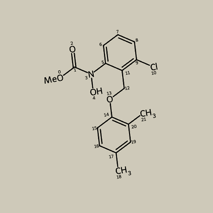 COC(=O)N(O)c1cccc(Cl)c1COc1ccc(C)cc1C